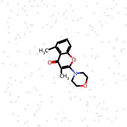 Cc1c(N2CCOCC2)oc2cccc(C)c2c1=O